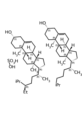 CC(C)CCC[C@@H](C)[C@H]1CC[C@H]2[C@@H]3CC=C4C[C@@H](O)CC[C@]4(C)[C@H]3CC[C@]12C.CC[C@H](CC[C@@H](C)[C@H]1CC[C@H]2[C@@H]3CC=C4C[C@@H](O)CC[C@]4(C)[C@H]3CC[C@]12C)C(C)C.O=S(=O)(O)O